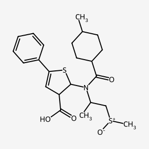 CC1CCC(C(=O)N(C(C)C[S+](C)[O-])C2SC(c3ccccc3)=CC2C(=O)O)CC1